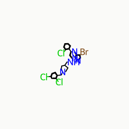 Clc1ccc(CN2CCC(CNc3cc(-c4ccccc4Cl)nc4c(Br)cnn34)CC2)c(Cl)c1